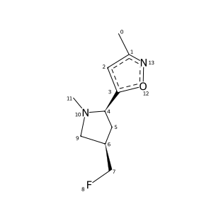 Cc1cc([C@H]2C[C@@H](CF)CN2C)on1